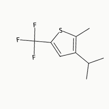 Cc1sc(C(F)(F)F)cc1C(C)C